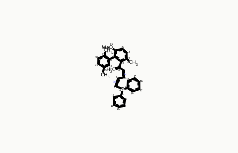 C=C(/C=C\C=C/P(c1ccccc1)c1ccccc1)c1c(C)ccc(OC)c1-c1cc(C)ccc1C